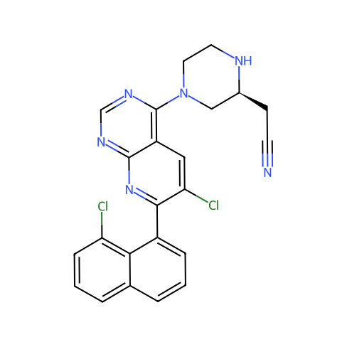 N#CC[C@H]1CN(c2ncnc3nc(-c4cccc5cccc(Cl)c45)c(Cl)cc23)CCN1